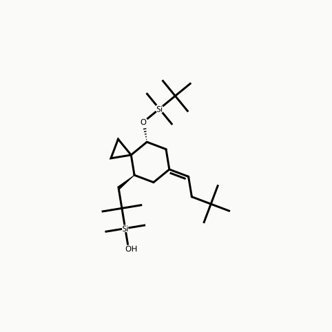 CC(C)(C)C/C=C1\C[C@@H](CC(C)(C)[Si](C)(C)O)C2(CC2)[C@H](O[Si](C)(C)C(C)(C)C)C1